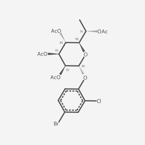 CC(=O)O[C@H]1[C@H](OC(C)=O)[C@@H]([C@H](C)OC(C)=O)O[C@H](Oc2ccc(Br)cc2Cl)[C@H]1OC(C)=O